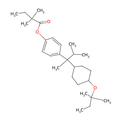 CCC(C)(C)OC1CCC(C(C)(c2ccc(OC(=O)C(C)(C)CC)cc2)C(C)C)CC1